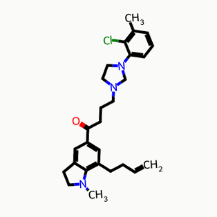 C=CCCc1cc(C(=O)CCCN2CCN(c3cccc(C)c3Cl)C2)cc2c1N(C)CC2